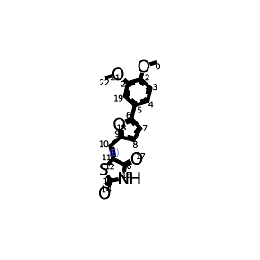 COc1ccc(-c2ccc(/C=C3/SC(=O)NC3=O)o2)cc1OC